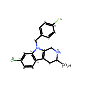 O=C(O)C1Cc2c(n(Cc3ccc(F)cc3)c3cc(Cl)ccc23)CN1